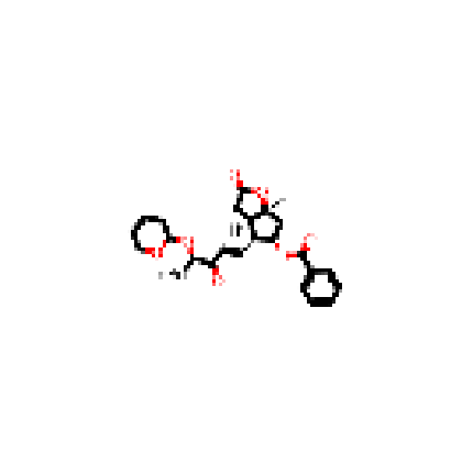 CCCCC(OC1CCCCO1)C(=O)C=C[C@@H]1[C@H]2CC(=O)O[C@H]2C[C@H]1OC(=O)c1ccccc1